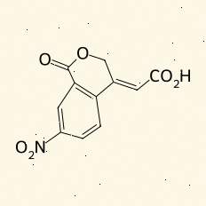 O=C(O)C=C1COC(=O)c2cc([N+](=O)[O-])ccc21